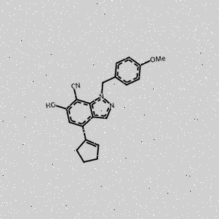 COc1ccc(Cn2ncc3c(C4=CCCC4)cc(O)c(C#N)c32)cc1